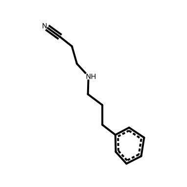 N#CCCNCCCc1ccccc1